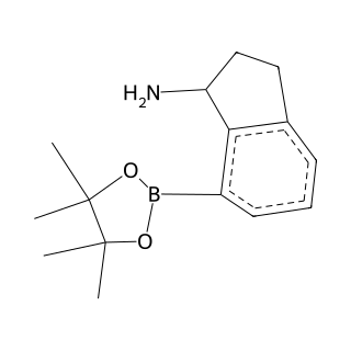 CC1(C)OB(c2cccc3c2C(N)CC3)OC1(C)C